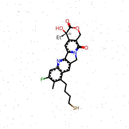 CC[C@@]1(O)C(=O)OCc2c1cc1n(c2=O)Cc2cc3c(CCCCS)c(C)c(F)cc3nc2-1